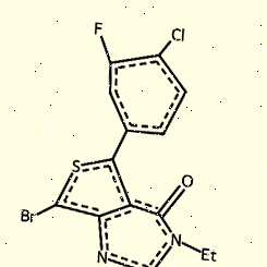 CCn1cnc2c(Br)sc(-c3ccc(Cl)c(F)c3)c2c1=O